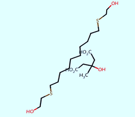 CC(O)(CC(=O)O)CC(=O)O.OCCSCCCCCCCCCCSCCO